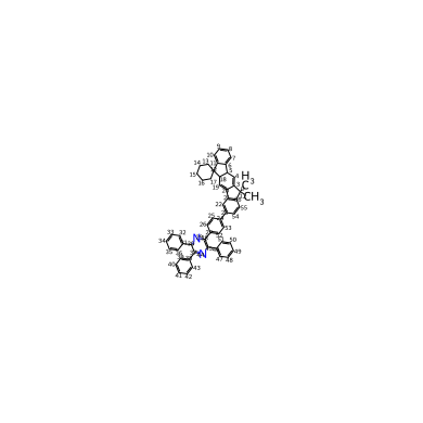 CC1(C)C2=CC3c4ccccc4C4(CCCCC4)C3C=C2c2cc(-c3ccc(-c4nc(-c5ccccc5)c(-c5ccccc5)nc4-c4ccccc4)cc3)ccc21